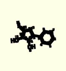 On1c(-c2cccnc2)nc(=S)n1O